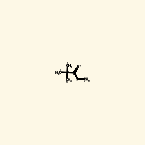 CCC(=S)C(C)(C)C